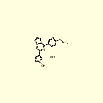 Cl.Cn1cc(-c2cn3nccc3c(-c3ccc(CN)nc3)n2)cn1